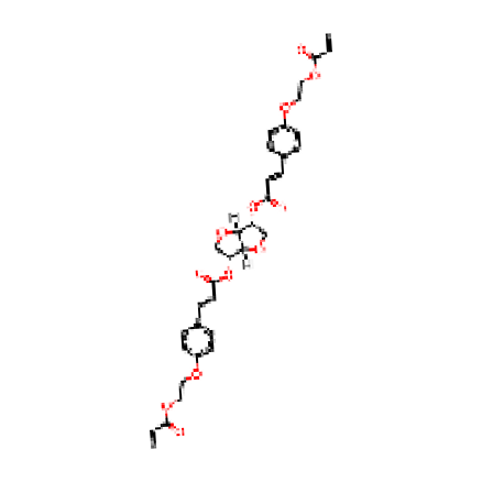 C=CC(=O)OCCOc1ccc(/C=C/C(=O)O[C@@H]2CO[C@H]3[C@@H]2OC[C@H]3OC(=O)/C=C/c2ccc(OCCOC(=O)C=C)cc2)cc1